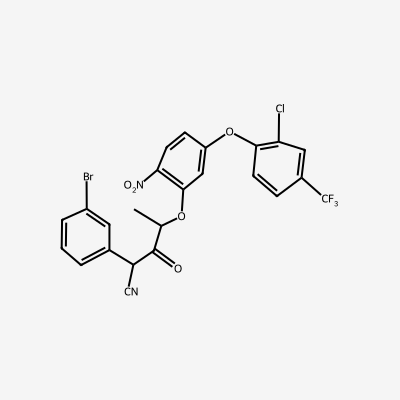 CC(Oc1cc(Oc2ccc(C(F)(F)F)cc2Cl)ccc1[N+](=O)[O-])C(=O)C(C#N)c1cccc(Br)c1